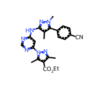 CCOC(=O)c1c(C)nn(-c2cc(Nc3nn(C)c(-c4ccc(C#N)cc4)c3C)ncn2)c1C